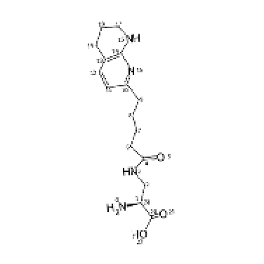 N[C@@H](CNC(=O)CCCCc1ccc2c(n1)NCCC2)C(=O)O